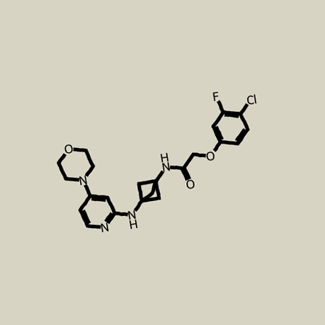 O=C(COc1ccc(Cl)c(F)c1)NC12CC(Nc3cc(N4CCOCC4)ccn3)(C1)C2